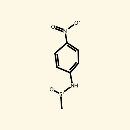 C[S+]([O-])Nc1ccc([N+](=O)[O-])cc1